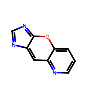 c1cnc2cc3ncnc-3oc2c1